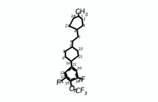 CC1CCC(CCC2CCC(c3cc(F)c(OC(F)(F)F)c(F)c3)CC2)CC1